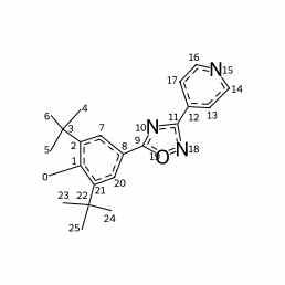 Cc1c(C(C)(C)C)cc(-c2nc(-c3ccncc3)no2)cc1C(C)(C)C